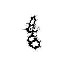 ClCC1(c2ccc3ccccc3n2)C=Cc2ccccc2N1